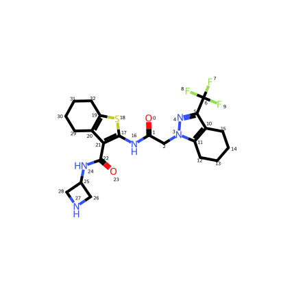 O=C(Cn1nc(C(F)(F)F)c2c1CCCC2)Nc1sc2c(c1C(=O)NC1CNC1)CCCC2